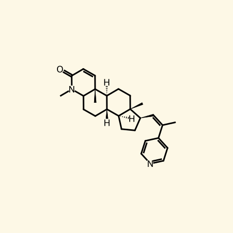 CC(=C[C@H]1CC[C@H]2[C@@H]3CCC4N(C)C(=O)C=C[C@]4(C)[C@H]3CC[C@]12C)c1ccncc1